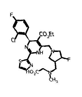 CCOC(=O)C1=C(CN2CC(F)C(CN(C)CC(=O)O)C2)NC(c2nccs2)=N[C@H]1c1ccc(F)cc1Cl